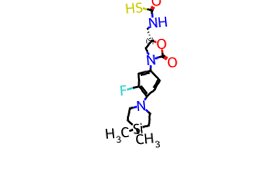 C[Si]1(C)CCN(c2ccc(N3C[C@H](CNC(=O)S)OC3=O)cc2F)CC1